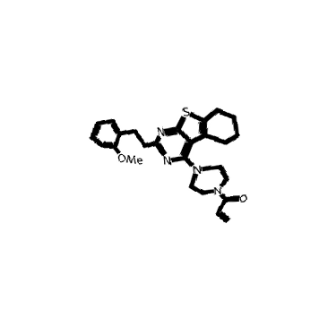 C=CC(=O)N1CCN(c2nc(CCc3ccccc3OC)nc3sc4c(c23)CCCC4)CC1